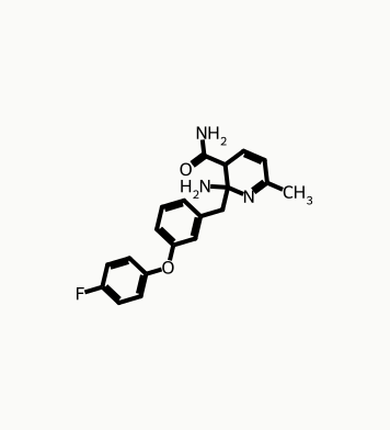 CC1=NC(N)(Cc2cccc(Oc3ccc(F)cc3)c2)C(C(N)=O)C=C1